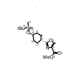 COC(=O)c1coc([C@H]2CC[C@H](O[Si](C)(C)C(C)(C)C)CC2)n1